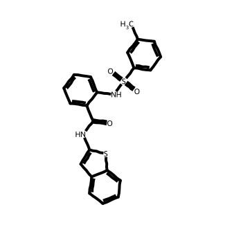 Cc1cccc(S(=O)(=O)Nc2ccccc2C(=O)Nc2cc3ccccc3s2)c1